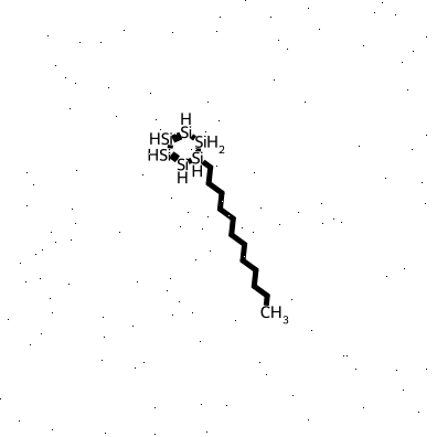 CCCCCCCCCCCC[SiH]1[SiH]=[SiH][SiH]=[SiH][SiH2]1